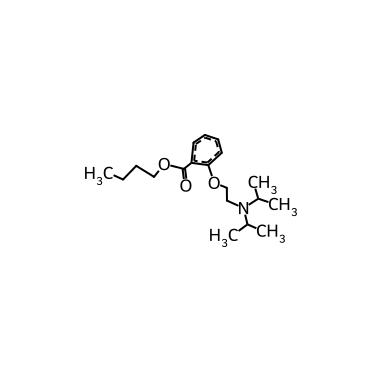 CCCCOC(=O)c1ccccc1OCCN(C(C)C)C(C)C